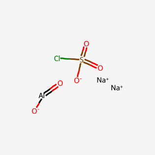 O=S(=O)([O-])Cl.[Na+].[Na+].[O]=[Al][O-]